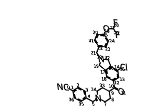 N#Cc1ccc(CN2CCC(C(=O)c3cc(Cl)c4c(c3)CN(Cc3ccc(OC(F)F)cc3)C4)CC2)cc1